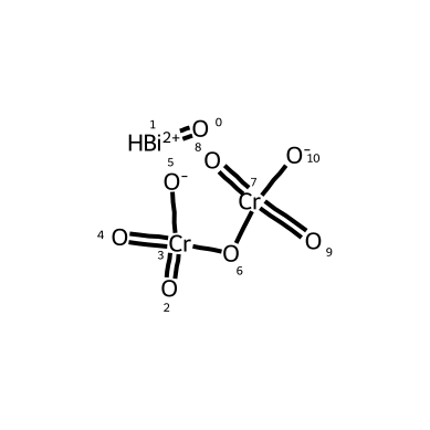 [O]=[BiH+2].[O]=[Cr](=[O])([O-])[O][Cr](=[O])(=[O])[O-]